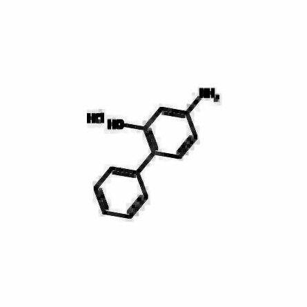 Cl.Nc1ccc(-c2ccccc2)c(O)c1